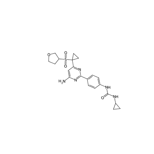 Nc1cc(C2(S(=O)(=O)C3CCOC3)CC2)nc(-c2ccc(NC(=O)NC3CC3)cc2)n1